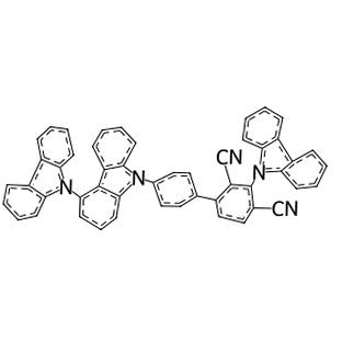 N#Cc1ccc(-c2ccc(-n3c4ccccc4c4c(-n5c6ccccc6c6ccccc65)cccc43)cc2)c(C#N)c1-n1c2ccccc2c2ccccc21